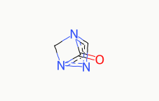 O=c1n2cnn1C2